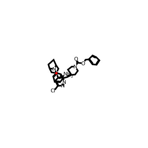 Nc1nnc(Cl)cc1N1CC2CCC(C1)N2c1cccc(C=C2CCN(C(=O)OCc3ccccc3)CC2)c1